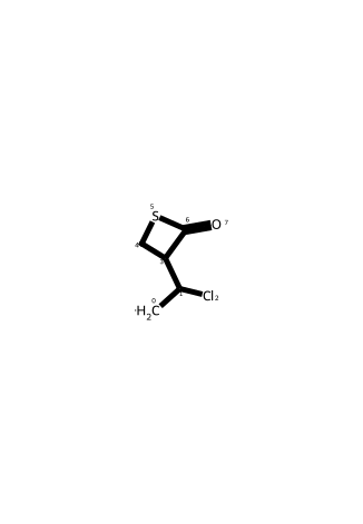 [CH2]C(Cl)C1CSC1=O